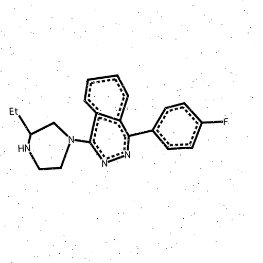 CCC1CN(c2nnc(-c3ccc(F)cc3)c3ccccc23)CCN1